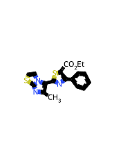 CCOC(=O)c1sc(-c2c(C)nc3sccn23)nc1-c1ccccc1